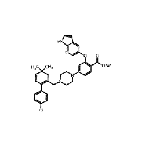 COC(=O)c1ccc(N2CCN(CC3=C(c4ccc(Cl)cc4)C=CC(C)(C)C3)CC2)cc1Oc1cnc2[nH]ccc2c1